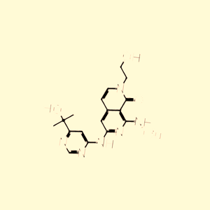 CC(C)(C)Nc1nc(Nc2cc(C(C)(C)O)ncn2)cc2ccn(CCO)c(=O)c12